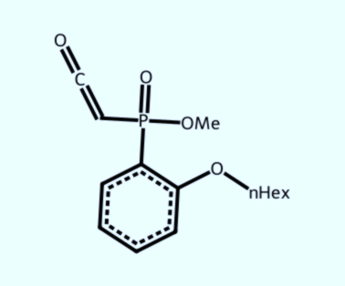 CCCCCCOc1ccccc1P(=O)(C=C=O)OC